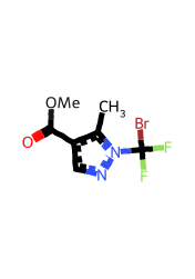 COC(=O)c1cnn(C(F)(F)Br)c1C